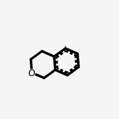 [c]1cccc2c1CCOC2